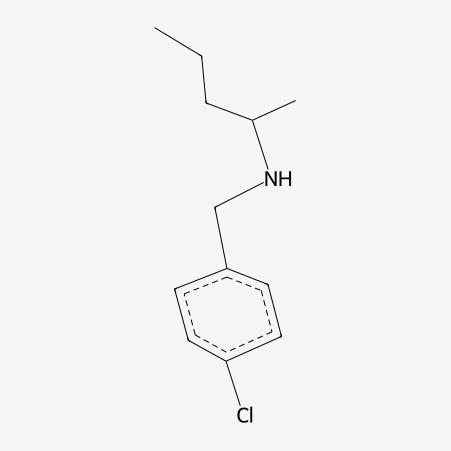 CCCC(C)NCc1ccc(Cl)cc1